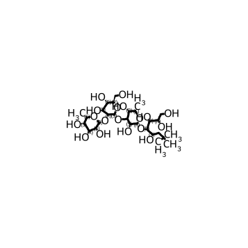 C[C@@H]1O[C@H](O[C@H]2[C@H](OC3[C@H](O)[C@@H](O[C@@H]([C@H](O)[C@H](O)CO)[C@@H](O)CC(C)(C)C)O[C@@H](C)[C@H]3O)O[C@H](CO)[C@@H](O)[C@@H]2O)[C@@H](O)[C@H](O)[C@@H]1O